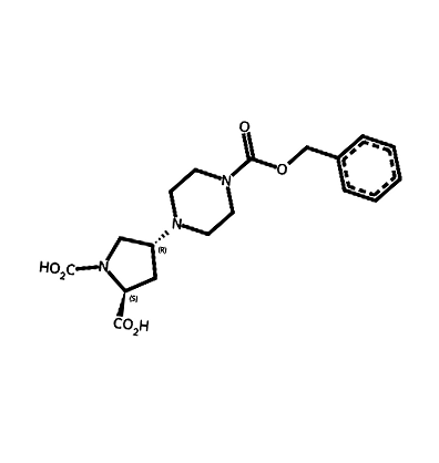 O=C(O)[C@@H]1C[C@@H](N2CCN(C(=O)OCc3ccccc3)CC2)CN1C(=O)O